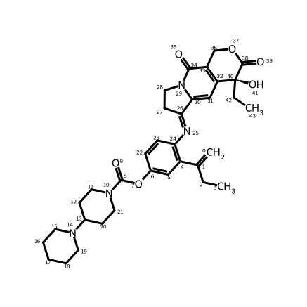 C=C(CC)c1cc(OC(=O)N2CCC(N3CCCCC3)CC2)ccc1/N=C1\CCn2c1cc1c(c2=O)COC(=O)[C@]1(O)CC